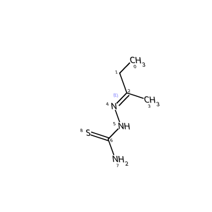 CC/C(C)=N/NC(N)=S